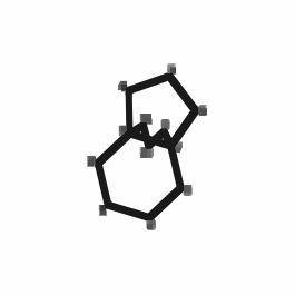 C1CCC23CCCC2(C1)CCC3